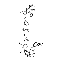 CC(C)c1cc(-c2nnc(O)n2-c2ccc(CNCCNC(=O)c3ccc(CCc4c[nH]c5nc(N)[nH]c(=O)c45)cc3)c(F)c2)c(O)cc1O